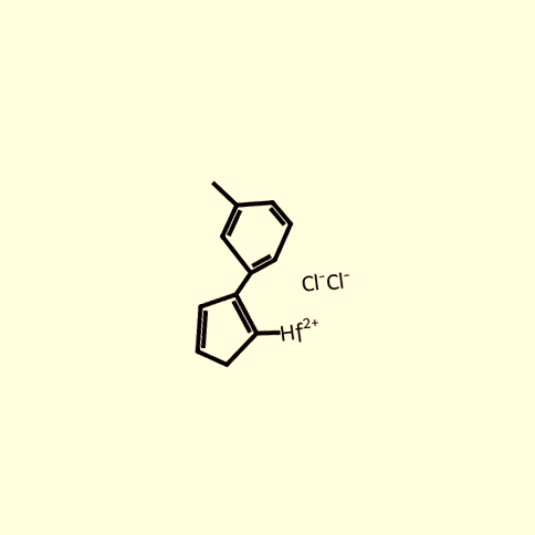 Cc1cccc(C2=[C]([Hf+2])CC=C2)c1.[Cl-].[Cl-]